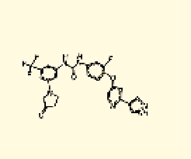 O=C1CCN(c2cc(NC(=O)Nc3ccc(Oc4ccnc(-c5cn[nH]c5)c4)c(F)c3)cc(C(F)(F)F)c2)C1